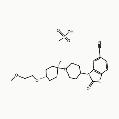 COCCO[C@H]1CC[C@](C)(N2CCC(n3c(=O)oc4ccc(C#N)cc43)CC2)CC1.CS(=O)(=O)O